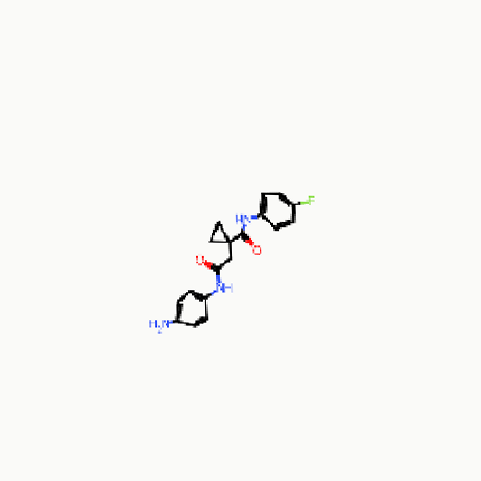 Nc1ccc(NC(=O)CC2(C(=O)Nc3ccc(F)cc3)CC2)cc1